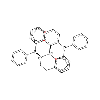 c1ccc(P(c2ccccc2)c2ccc3c(c2[C@H]2C4OCOC4CC[C@H]2P(c2ccccc2)c2ccccc2)OCO3)cc1